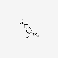 C=Cc1cc(CC(=O)N(C)C)ccc1[N+](=O)[O-]